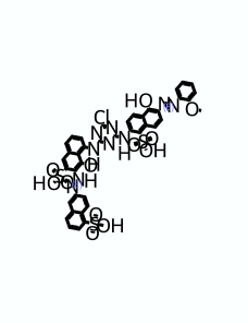 COc1ccccc1/N=N/c1ccc2c(S(=O)(=O)O)c(Nc3nc(Cl)nc(Nc4cccc5cc(S(=O)(=O)O)c(/N=N/c6ccc7c(S(=O)(=O)O)cccc7c6)c(O)c45)n3)ccc2c1O